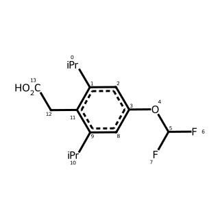 CC(C)c1cc(OC(F)F)cc(C(C)C)c1CC(=O)O